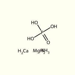 N.O=P(O)(O)O.[CaH2].[MgH2]